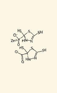 O=C([O-])C1(S)NN=C(S)S1.O=C([O-])C1(S)NN=C(S)S1.[Zn+2]